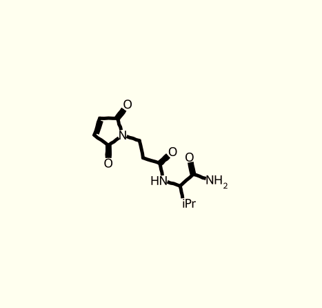 CC(C)C(NC(=O)CCN1C(=O)C=CC1=O)C(N)=O